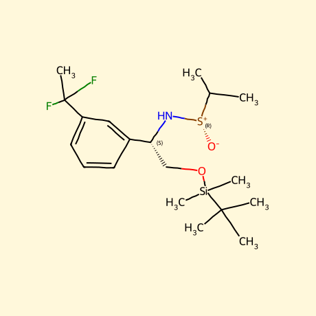 CC(C)[S@+]([O-])N[C@H](CO[Si](C)(C)C(C)(C)C)c1cccc(C(C)(F)F)c1